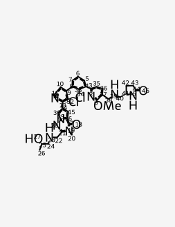 COc1nc(-c2cccc(-c3ccnc(-c4cc5c(=O)n(C)c(CNCC(C)O)nn5c4)c3Cl)c2Cl)ccc1CNC[C@H]1CCC(=O)N1